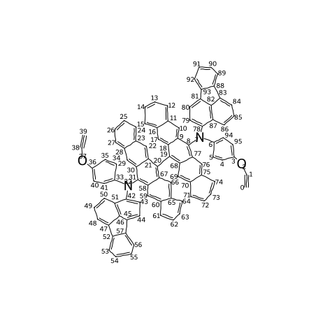 C#COc1ccc(N(c2c3cc4ccccc4cc3c(-c3c4cc5ccccc5cc4c(N(c4ccc(OC#C)cc4)c4ccc5c6c(cccc46)-c4ccccc4-5)c4cc5ccccc5cc34)c3cc4ccccc4cc23)c2ccc3c4c(cccc24)-c2ccccc2-3)cc1